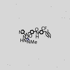 CN/C=C1\C(=N)N=C(c2cccnc2)N=C1Oc1cc(C(=O)Nc2ccc(CN3CCN(C)CC3)c(C(F)(F)F)c2)ccc1C